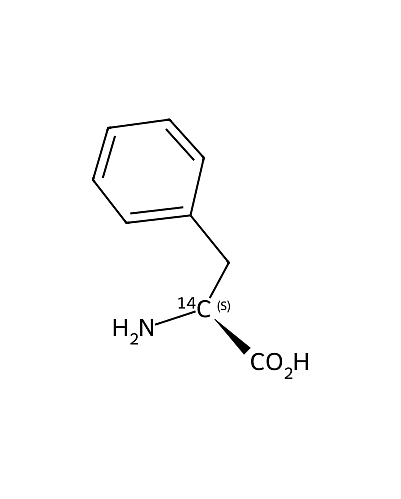 N[14C@@H](Cc1ccccc1)C(=O)O